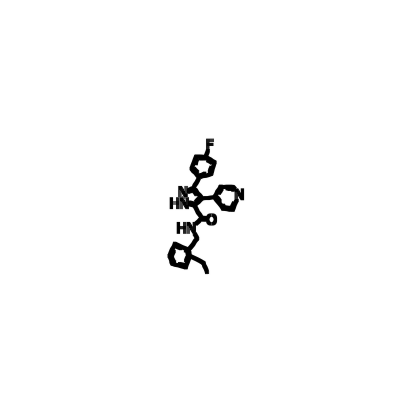 CCc1ccccc1CNC(=O)c1[nH]nc(-c2ccc(F)cc2)c1-c1ccncc1